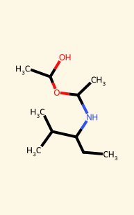 CCC(NC(C)OC(C)O)C(C)C